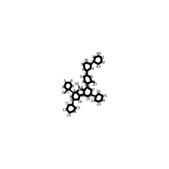 Cc1ccccc1-c1cc(-c2ccccc2)cc2c3cc(-c4ccccc4)cc(-c4ccc(-c5cccc(-c6ccccc6)c5)cc4C)c3n(C)c12